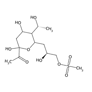 CC(=O)C1(O)CC(O)C([C@@H](C)O)C(C[C@H](O)COS(C)(=O)=O)O1